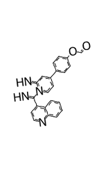 N=C(c1ccnc2ccccc12)n1ccc(-c2ccc(OC=O)cc2)cc1=N